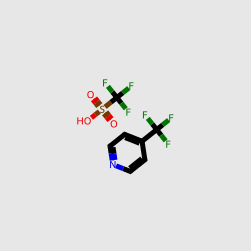 FC(F)(F)c1ccncc1.O=S(=O)(O)C(F)(F)F